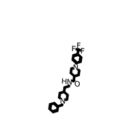 O=C(NCCC1CCN(Cc2ccccc2)CC1)C1CCN(c2ccc(C(F)(F)F)cc2)CC1